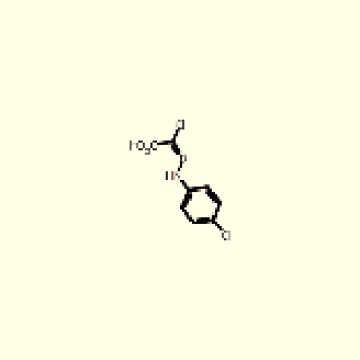 O=C(O)/C(Cl)=N\Nc1ccc(Cl)cc1